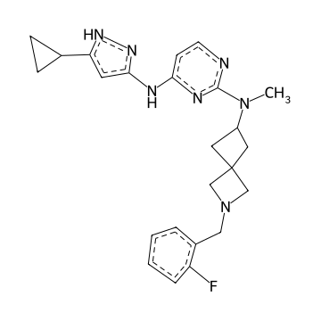 CN(c1nccc(Nc2cc(C3CC3)[nH]n2)n1)C1CC2(C1)CN(Cc1ccccc1F)C2